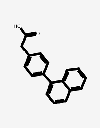 O=C(O)Cc1ccc(-c2cccc3ccccc23)cc1